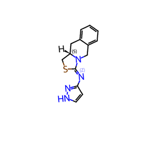 c1ccc2c(c1)C[C@H]1CS/C(=N\c3cc[nH]n3)N1C2